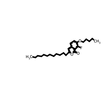 CCCCCCCCCCCCc1cc2ccc(OCCCCC)c(F)c2c(=O)o1